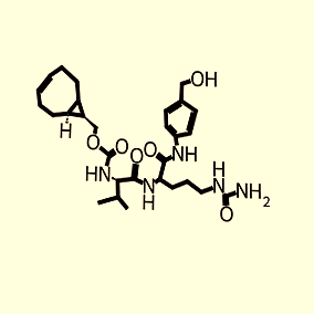 CC(C)[C@H](NC(=O)OC[C@@H]1C2CC/C=C\CC[C@@H]21)C(=O)NC(CCCNC(N)=O)C(=O)Nc1ccc(CO)cc1